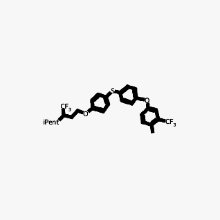 CCCC(C)C(CCOc1ccc(Sc2ccc(Oc3ccc(C)c(C(F)(F)F)c3)cc2)cc1)C(F)(F)F